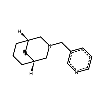 c1cncc(CN2C[C@H]3CCC[C@@H](C2)C32OCCO2)c1